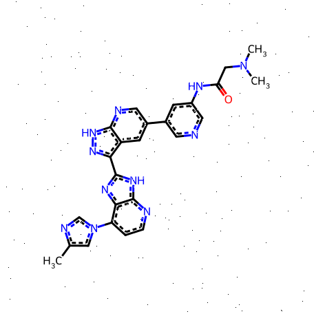 Cc1cn(-c2ccnc3[nH]c(-c4n[nH]c5ncc(-c6cncc(NC(=O)CN(C)C)c6)cc45)nc23)cn1